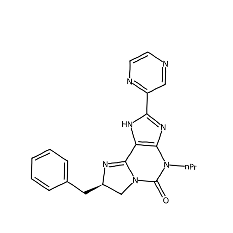 CCCN1C(=O)N2C[C@@H](Cc3ccccc3)N=C2c2[nH]c(-c3cnccn3)nc21